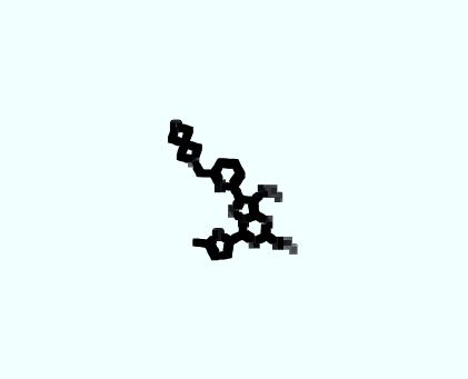 Cc1ccc(-c2nc(N)nc3c(N)c(-c4cccc(CN5CC6(COC6)C5)n4)nn23)o1